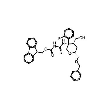 O=C(NC(=S)N[C@@]1(c2ccccc2F)CO[C@@H](COCc2ccccc2)C[C@H]1CO)OCC1c2ccccc2-c2ccccc21